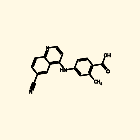 Cc1cc(Nc2ccnc3ccc(C#N)cc23)ccc1C(=O)O